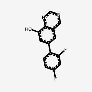 Oc1cc(-c2ccc(F)cc2F)cc2cncnc12